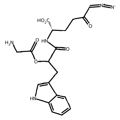 [N-]=[N+]=CC(=O)CC[C@H](NC(=O)C(Cc1c[nH]c2ccccc12)OC(=O)CN)C(=O)O